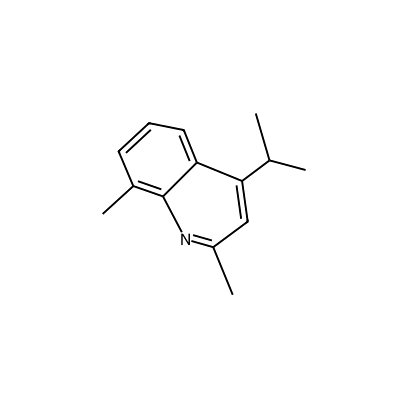 Cc1cc(C(C)C)c2cccc(C)c2n1